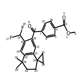 COC(=O)c1ccc(C(=O)c2cc3c(cc2C(F)F)C(C)(C)CCC32CC2)cc1